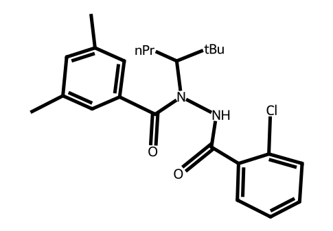 CCCC(N(NC(=O)c1ccccc1Cl)C(=O)c1cc(C)cc(C)c1)C(C)(C)C